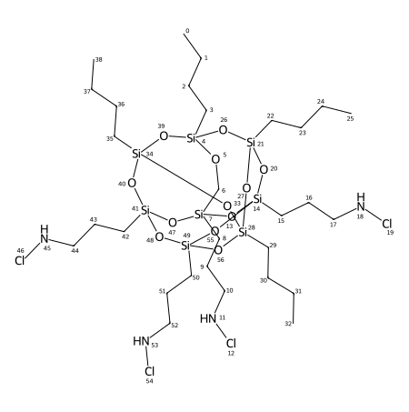 CCCC[Si]12OC[Si]3(CCCNCl)O[Si]4(CCCNCl)O[Si](CCCC)(O1)O[Si]1(CCCC)O[Si](CCCC)(O2)O[Si](CCCNCl)(O3)O[Si](CCCNCl)(O4)O1